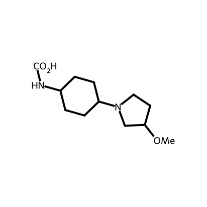 COC1CCN(C2CCC(NC(=O)O)CC2)C1